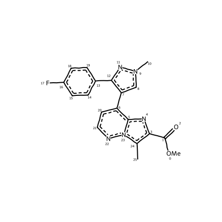 COC(=O)c1nc2c(-c3cn(C)nc3-c3ccc(F)cc3)ccnn2c1C